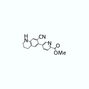 COC(=O)c1ccc(-c2cc3c(cc2C#N)NCCC3)cn1